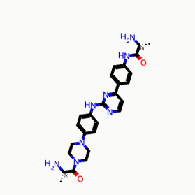 C[C@H](N)C(=O)N1CCN(c2ccc(Nc3nccc(-c4ccc(NC(=O)[C@@H](C)N)cc4)n3)cc2)CC1